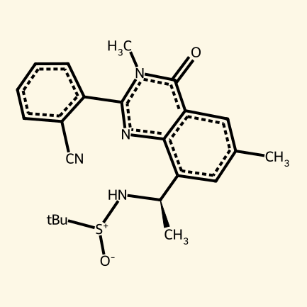 Cc1cc([C@@H](C)N[S+]([O-])C(C)(C)C)c2nc(-c3ccccc3C#N)n(C)c(=O)c2c1